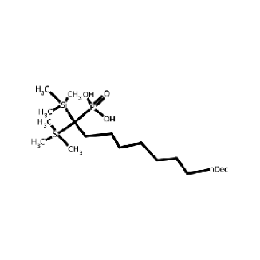 CCCCCCCCCCCCCCCCCC([Si](C)(C)C)([Si](C)(C)C)P(=O)(O)O